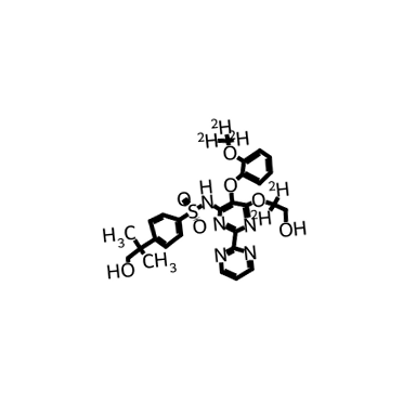 [2H]C([2H])([2H])Oc1ccccc1Oc1c(NS(=O)(=O)c2ccc(C(C)(C)CO)cc2)nc(-c2ncccn2)nc1OC([2H])([2H])CO